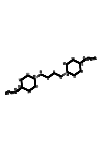 CCCCC[C@H]1CC[C@H](CCCC[C@H]2CC[C@H](CCCCC)CC2)CC1